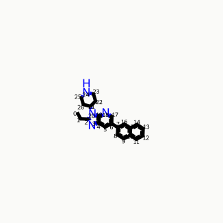 CCc1nc2cc(-c3ccc4ccccc4c3)cnc2n1C1CCNCC1